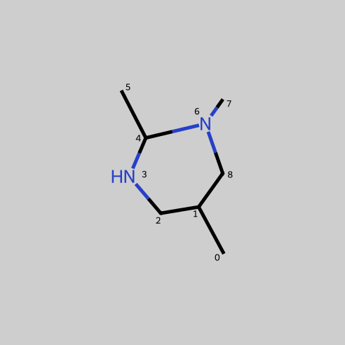 CC1CNC(C)N(C)C1